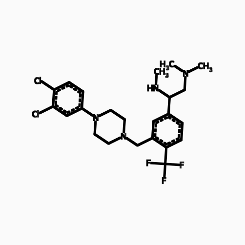 CNC(CN(C)C)c1ccc(C(F)(F)F)c(CN2CCN(c3ccc(Cl)c(Cl)c3)CC2)c1